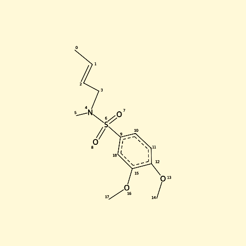 CC=CCN(C)S(=O)(=O)c1ccc(OC)c(OC)c1